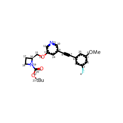 COc1cc(F)cc(C#Cc2cncc(OC[C@@H]3CCN3C(=O)OC(C)(C)C)c2)c1